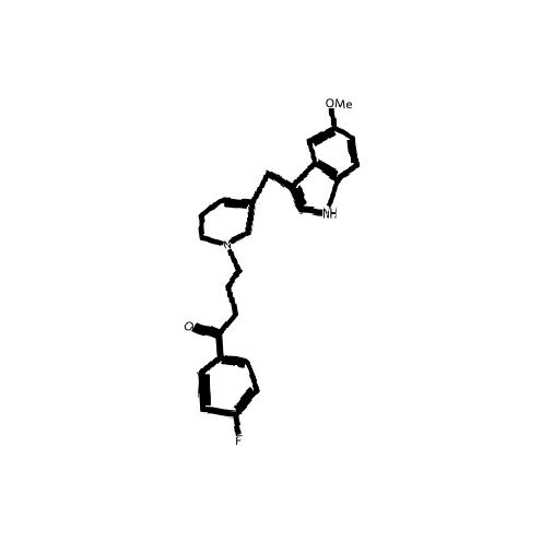 COc1ccc2[nH]cc(CC3=CCCN(CCCC(=O)c4ccc(F)cc4)C3)c2c1